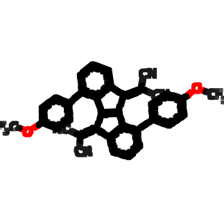 N#CC(C#N)=C1C2=C(C(=C(C#N)C#N)c3cccc(-c4ccc(OC(F)(F)F)cc4)c32)c2c1cccc2-c1ccc(OC(F)(F)F)cc1